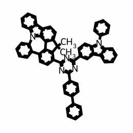 CC1(C)c2ccc3c4ccccc4n4c3c2-c2c(ccc(-c3nc(-c5ccc(-c6ccccc6)cc5)nc(-c5ccc6c(c5)c5ccccc5n6-c5ccccc5)n3)c21)-c1ccccc1-4